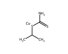 CC(C)SC(N)=S.[Cu]